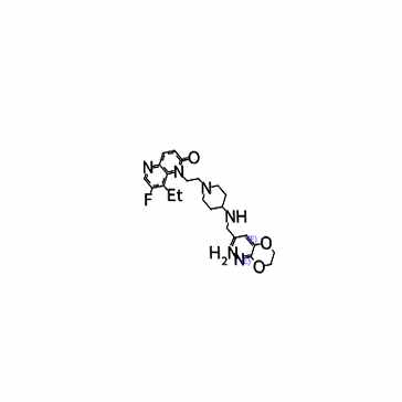 C=C(/C=C1/OCCO/C1=N/N)CNC1CCN(CCn2c(=O)ccc3ncc(F)c(CC)c32)CC1